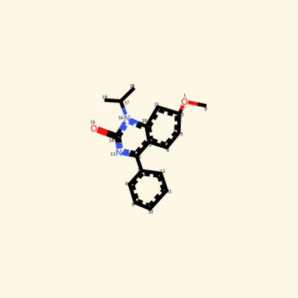 COc1ccc2c(-c3ccccc3)nc(=O)n(C(C)C)c2c1